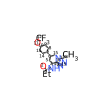 CCC(=O)Nc1cc(-c2ccc(OC(F)(F)F)cc2)cn2c(C)nnc12